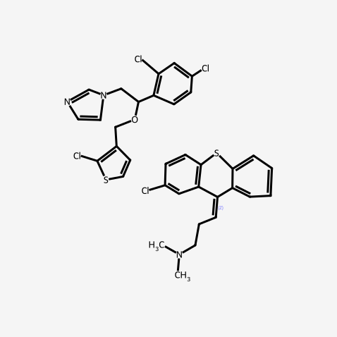 CN(C)CC/C=C1/c2ccccc2Sc2ccc(Cl)cc21.Clc1ccc(C(Cn2ccnc2)OCc2ccsc2Cl)c(Cl)c1